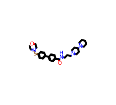 O=C(NCCCN1CCC(N2CCCCC2)CC1)c1ccc(-c2ccc(SN3CCOCC3)cc2)cc1